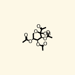 CC(=O)O[C@H]1[C@@H](OC(C)=O)COC(O)(C(C)=O)[C@H]1OC(C)=O